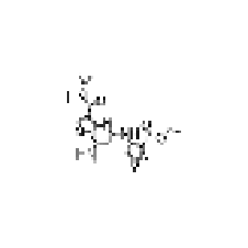 CCOC(=O)c1nn(C)cc1Nc1cc(NC)n2ncc(C(=O)NC3CC3)c2n1